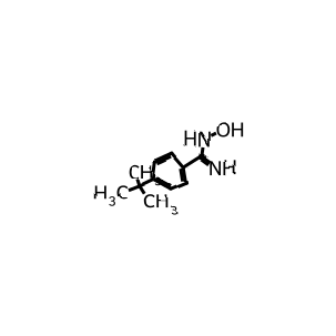 CC(C)(C)c1ccc(C(=N)NO)cc1